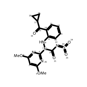 COc1cc(OC)nc(N(Nc2ccccc2C(=O)C2CC2)C(=O)N=S(=O)=O)n1